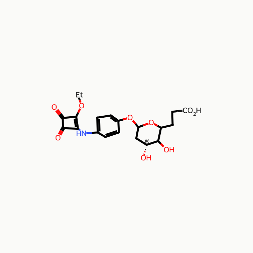 CCOc1c(Nc2ccc(OC3C[C@@H](O)C(O)C(CCC(=O)O)O3)cc2)c(=O)c1=O